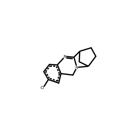 Clc1ccc2c(c1)CN1C(=N2)C2CCC1C2